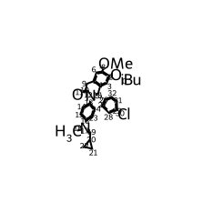 CCC(C)Oc1cc2c(cc1OC)CC(=O)N(c1ccc(N(C)CC3CC3)cc1)[C@H]2c1ccc(Cl)cc1